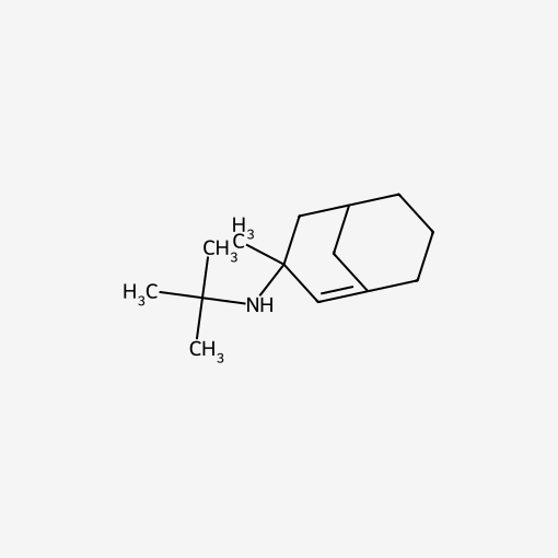 CC(C)(C)NC1(C)C=C2CCCC(C2)C1